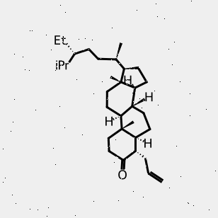 C=CC[C@@H]1C(=O)CC[C@]2(C)[C@H]3CC[C@]4(C)[C@@H]([C@H](C)CC[C@@H](CC)C(C)C)CC[C@H]4[C@@H]3CC[C@@H]12